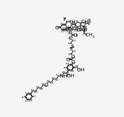 CCC(=O)O[C@]1(C(=O)SCF)[C@H](C)C[C@H]2[C@@H]3C[C@H](F)C4=CC(=O)C=C[C@@H]4[C@@]3(C)[C@@H](OC(=O)OCCSSCCOC(=O)Oc3ccc(C(O)CNCCCCCOCCCCCc4ccccc4)cc3CO)C[C@@]21C